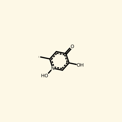 [CH]c1cc(=O)c(O)cn1O